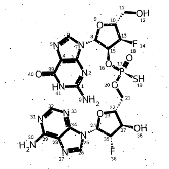 Nc1nc2c(ncn2[C@@H]2O[C@H](CO)[C@@H](F)[C@H]2O[P@@](=O)(S)OC[C@H]2O[C@@H](n3cnc4c(N)ncnc43)[C@@H](F)[C@@H]2O)c(=O)[nH]1